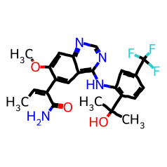 CC=C(C(N)=O)c1cc2c(Nc3cc(C(F)(F)F)ccc3C(C)(C)O)ncnc2cc1OC